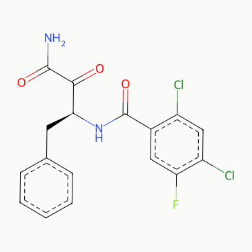 NC(=O)C(=O)[C@H](Cc1ccccc1)NC(=O)c1cc(F)c(Cl)cc1Cl